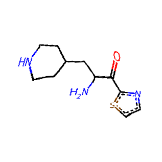 NC(CC1CCNCC1)C(=O)c1nccs1